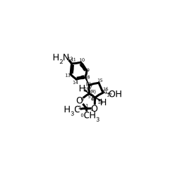 CC1(C)O[C@@H]2[C@H](O1)[C@@H](c1ccc(N)cc1)C[C@@H]2O